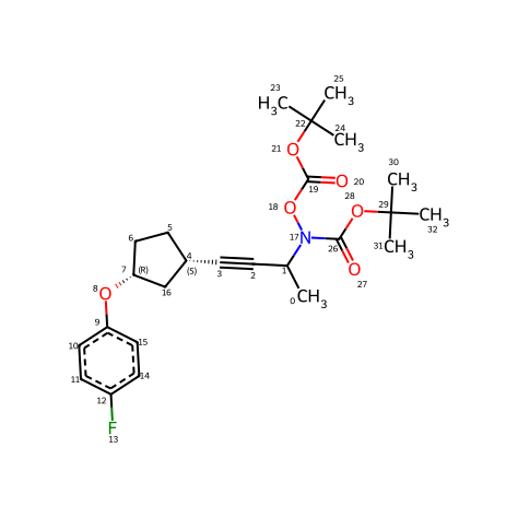 CC(C#C[C@H]1CC[C@@H](Oc2ccc(F)cc2)C1)N(OC(=O)OC(C)(C)C)C(=O)OC(C)(C)C